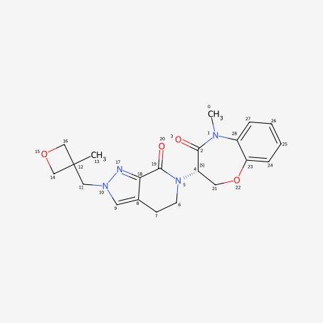 CN1C(=O)[C@@H](N2CCc3cn(CC4(C)COC4)nc3C2=O)COc2ccccc21